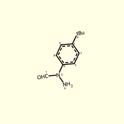 CC(C)(C)c1ccc(N(N)C=O)cc1